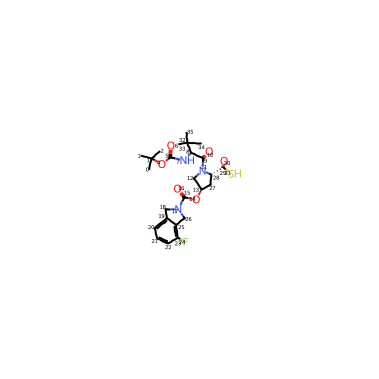 CC(C)(C)OC(=O)N[C@H](C(=O)N1C[C@H](OC(=O)N2Cc3cccc(F)c3C2)C[C@H]1C(=O)S)C(C)(C)C